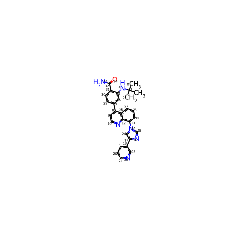 CC(C)(C)Nc1cc(-c2ccnc3c(-n4cnc(-c5cccnc5)c4)cccc23)ccc1C(N)=O